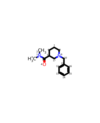 CN(C)C(=O)C1CCCN(Cc2ccccc2)C1